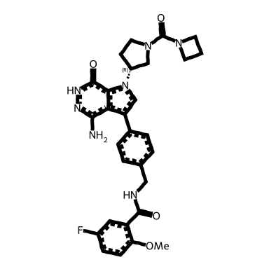 COc1ccc(F)cc1C(=O)NCc1ccc(-c2cn([C@@H]3CCN(C(=O)N4CCC4)C3)c3c(=O)[nH]nc(N)c23)cc1